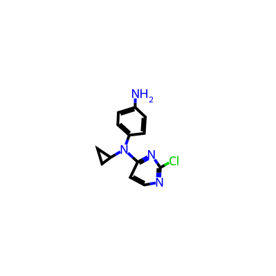 Nc1ccc(N(c2ccnc(Cl)n2)C2CC2)cc1